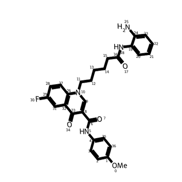 COc1ccc(NC(=O)c2cn(CCCCCC(=O)Nc3ccccc3N)c3ccc(F)cc3c2=O)cc1